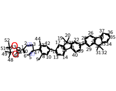 C=C(/C=C\C(=C/C)c1c(C)cc(-c2ccc3c(c2)C(C)(C)c2cc(-c4ccc5c(c4)C(C)(C)c4ccccc4-5)ccc2-3)cc1C)B1OC(C)(C)C(C)(C)O1